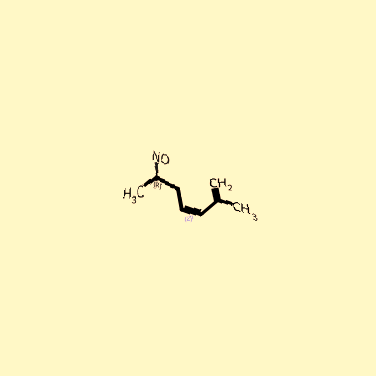 C=C(C)/C=C\C[C@@H](C)N=O